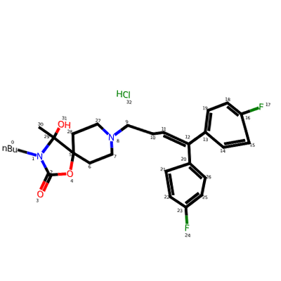 CCCCN1C(=O)OC2(CCN(CCC=C(c3ccc(F)cc3)c3ccc(F)cc3)CC2)C1(C)O.Cl